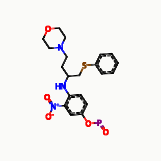 O=POc1ccc(NC(CCN2CCOCC2)CSc2ccccc2)c([N+](=O)[O-])c1